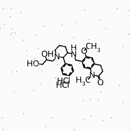 COc1cc2c(cc1CNC1CCCN(CC(O)CO)C1c1ccccc1)N(C)C(=O)CC2.Cl.Cl